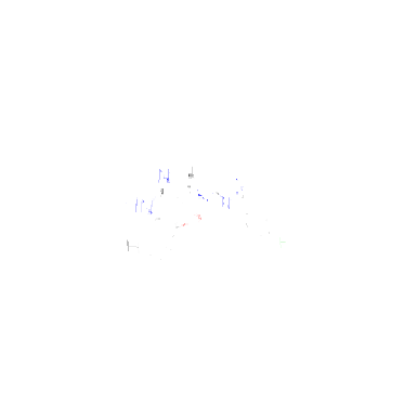 CC(C)c1cnc(-c2ccc(F)cc2)nc1Nc1ccnc2[nH]cc(C(=O)C(=O)O)c12